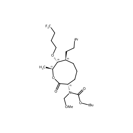 COCN(C(=O)OC(C)(C)C)[C@H]1CCC[C@H](CCC(C)C)[C@@H](OCCCC(F)(F)F)[C@H](C)OC1=O